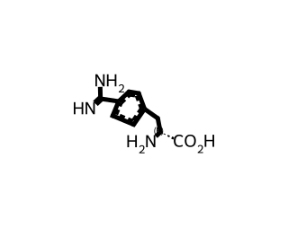 N=C(N)c1ccc(C[C@@H](N)C(=O)O)cc1